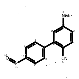 CNc1ccc(C#N)c(-c2ccc(P=O)cc2)c1